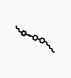 CCCCCCCC1CCC(C2CCC(C#Cc3ccc(CCCC)cc3)CC2)CC1